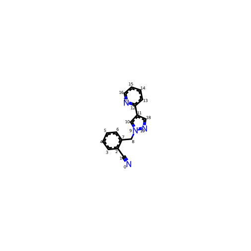 N#Cc1ccccc1Cn1cc(-c2ccccn2)cn1